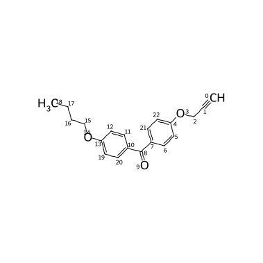 C#CCOc1ccc(C(=O)c2ccc(OCCCC)cc2)cc1